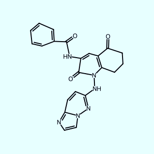 O=C(Nc1cc2c(n(Nc3ccc4nccn4n3)c1=O)CCCC2=O)c1ccccc1